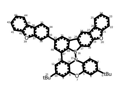 CC(C)(C)c1ccc2c(c1)Oc1cc(C(C)(C)C)cc3c1N2B1c2cc4oc5ccccc5c4cc2-c2cc(-c4ccc5c(c4)oc4ccccc45)cc-3c21